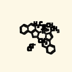 CC1=Cc2c(ccc3ccccc23)[CH]1[Ti+2]([CH]1C(C)=Cc2c1ccc1ccccc21)=[Si](C)C.[Cl-].[Cl-]